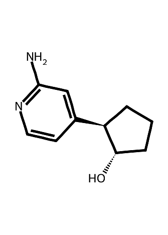 Nc1cc([C@H]2CCC[C@@H]2O)ccn1